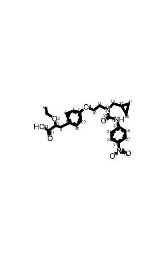 CCOC(Cc1ccc(OCCN(CC2CC2)C(=O)Nc2ccc([N+](=O)[O-])cc2)cc1)C(=O)O